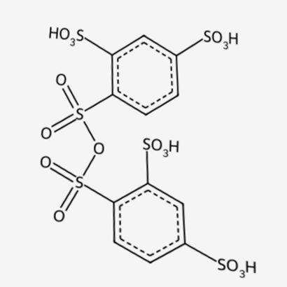 O=S(=O)(O)c1ccc(S(=O)(=O)OS(=O)(=O)c2ccc(S(=O)(=O)O)cc2S(=O)(=O)O)c(S(=O)(=O)O)c1